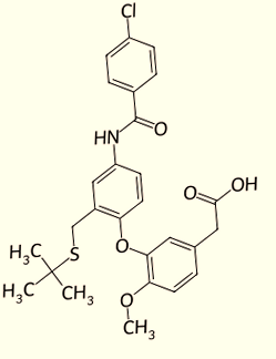 COc1ccc(CC(=O)O)cc1Oc1ccc(NC(=O)c2ccc(Cl)cc2)cc1CSC(C)(C)C